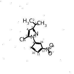 CC(C)c1cc(Cl)n(-c2cccc([N+](=O)[O-])c2)n1